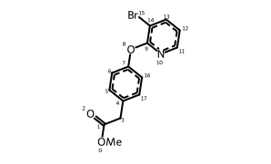 COC(=O)Cc1ccc(Oc2ncccc2Br)cc1